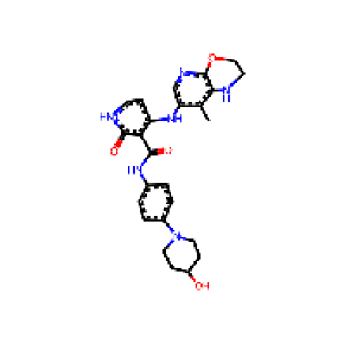 Cc1c(Nc2cc[nH]c(=O)c2C(=O)Nc2ccc(N3CCC(O)CC3)cc2)cnc2c1NCCO2